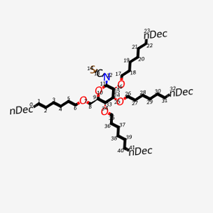 CCCCCCCCCCCCCCCCOC[C@H]1O[C@@H](N=C=S)[C@H](OCCCCCCCCCCCCCCCC)[C@@H](OCCCCCCCCCCCCCCCC)[C@@H]1OCCCCCCCCCCCCCCCC